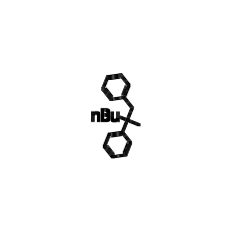 CC[CH]CC(C)(Cc1ccccc1)c1ccccc1